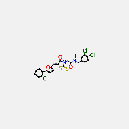 O=C(CN1C(=O)/C(=C/c2ccc(-c3ccccc3Cl)o2)SC1=S)NCc1ccc(Cl)c(Cl)c1